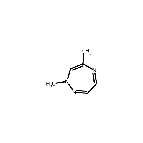 CC1=CN(C)N=CC=N1